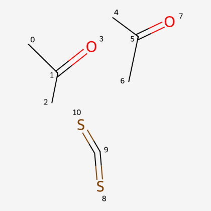 CC(C)=O.CC(C)=O.S=C=S